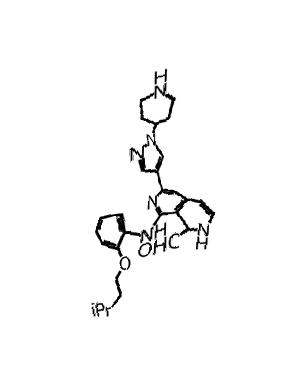 CC(C)CCOc1ccccc1Nc1nc(-c2cnn(C3CCNCC3)c2)cc2c1C(C=O)NC=C2